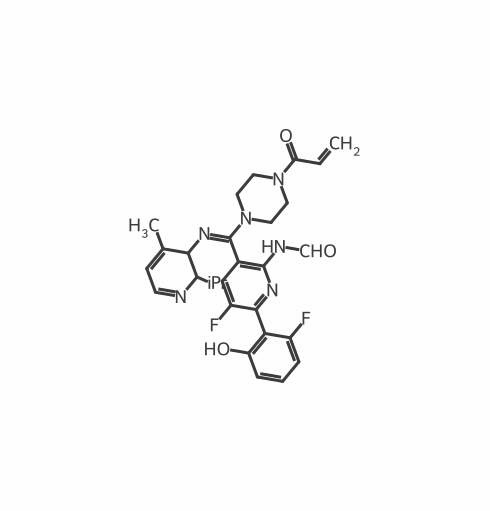 C=CC(=O)N1CCN(/C(=N/C2C(C)=CC=NC2C(C)C)c2cc(F)c(-c3c(O)cccc3F)nc2NC=O)CC1